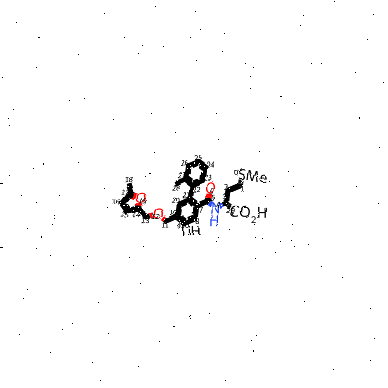 CSCCC(NC(=O)c1ccc(COCc2ccc(C)o2)cc1-c1ccccc1C)C(=O)O.[LiH]